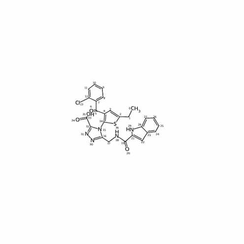 CCc1cc(C(=O)c2ccccc2Cl)c(-n2c(CNC(=O)c3cc4ccccc4[nH]3)nnc2C(=O)O)s1